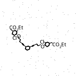 CCOC(=O)Cc1ccc(OCC=CC#Cc2cccc(C#CC=CCOc3ccc(CC(=O)OCC)cc3Cl)c2)c(Cl)c1